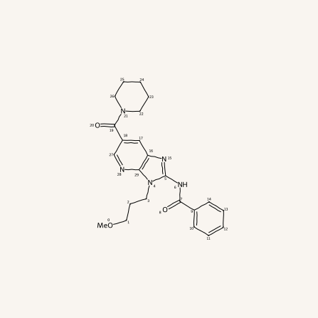 COCCCn1c(NC(=O)c2ccccc2)nc2cc(C(=O)N3CCCCC3)cnc21